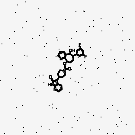 O=C(OC1CCC(c2cc(F)cc(F)c2)C(O)c2cccnc21)N1CCC(n2c(=O)[nH]c3ncccc32)CC1